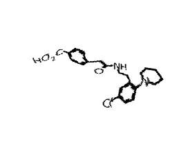 O=C(Cc1ccc(C(=O)O)cc1)NCCc1cc(Cl)ccc1N1CCCCC1